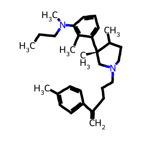 C=C(CCCN1CCC(C)[C@@](C)(c2cccc(N(C)CCC)c2C)C1)c1ccc(C)cc1